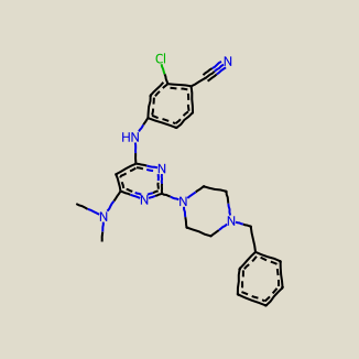 CN(C)c1cc(Nc2ccc(C#N)c(Cl)c2)nc(N2CCN(Cc3ccccc3)CC2)n1